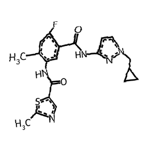 Cc1ncc(C(=O)Nc2cc(C(=O)Nc3ccn(CC4CC4)n3)c(F)cc2C)s1